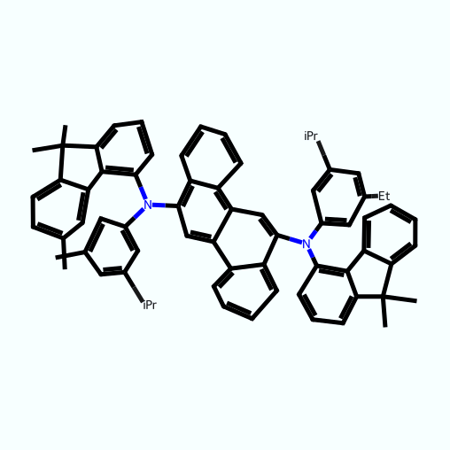 CCc1cc(C(C)C)cc(N(c2cccc3c2-c2ccccc2C3(C)C)c2cc3c4ccccc4c(N(c4cc(C)cc(C(C)C)c4)c4cccc5c4-c4cc(C)ccc4C5(C)C)cc3c3ccccc23)c1